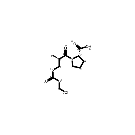 C[C@H](CSC(=O)OCCl)C(=O)N1CCC[C@H]1C(=O)O